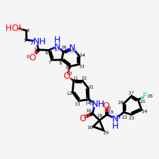 O=C(NCCO)c1cc2c(Oc3ccc(NC(=O)C4(C(=O)Nc5ccc(F)cc5)CC4)cc3)ccnc2[nH]1